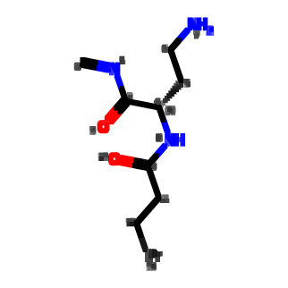 C=NC(=O)[C@H](CCN)NC(=O)CCC(C)C